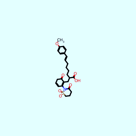 COc1ccc(/C=C/CCCCC(CC2=C(N3C(=O)CCCS3(=O)=O)C=CCC2=O)C(=O)O)cc1